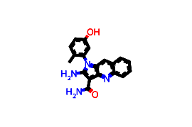 Cc1ccc(O)cc1-n1c(N)c(C(N)=O)c2nc3ccccc3cc21